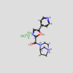 Cl.Cl.O=C(c1ncc(-c2ccncc2)o1)N1CC[N@@]2CCC1C2